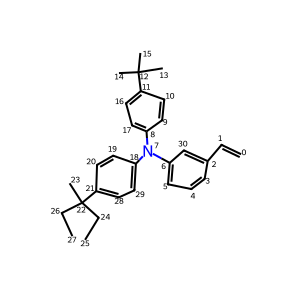 C=Cc1cccc(N(c2ccc(C(C)(C)C)cc2)c2ccc(C(C)(CC)CC)cc2)c1